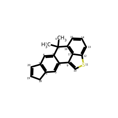 CC1(C)c2cc3c(cc2-c2csc4cccc1c24)CC=C3